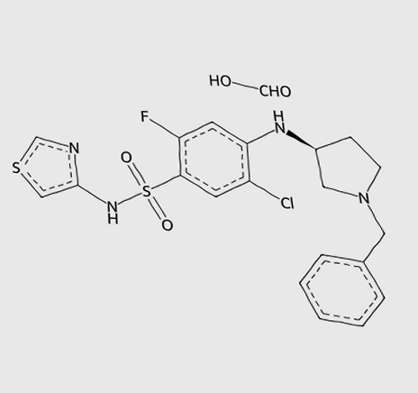 O=CO.O=S(=O)(Nc1cscn1)c1cc(Cl)c(N[C@H]2CCN(Cc3ccccc3)C2)cc1F